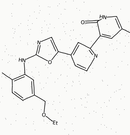 CCOCc1ccc(C)c(Nc2ncc(-c3ccnc(-c4cc(C)c[nH]c4=O)c3)o2)c1